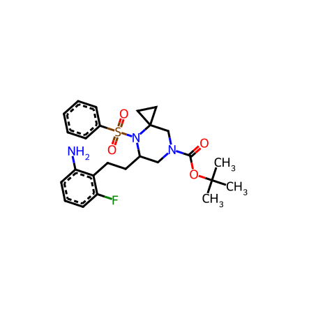 CC(C)(C)OC(=O)N1CC(CCc2c(N)cccc2F)N(S(=O)(=O)c2ccccc2)C2(CC2)C1